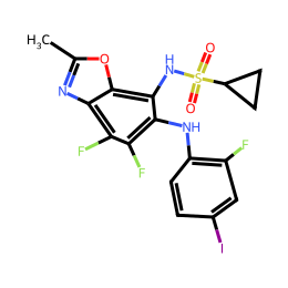 Cc1nc2c(F)c(F)c(Nc3ccc(I)cc3F)c(NS(=O)(=O)C3CC3)c2o1